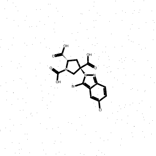 O=C(O)[C@@H]1C[C@@](C(=O)O)(n2nc3ccc(Cl)cc3c2Br)CN1C(=O)O